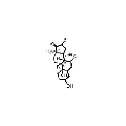 C[C@]12CCC(O)CC1CC(O)[C@@H]1[C@H]2CC[C@]2(C)C(=O)C(Br)C[C@@H]12